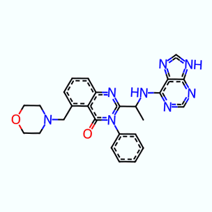 CC(Nc1ncnc2[nH]cnc12)c1nc2cccc(CN3CCOCC3)c2c(=O)n1-c1ccccc1